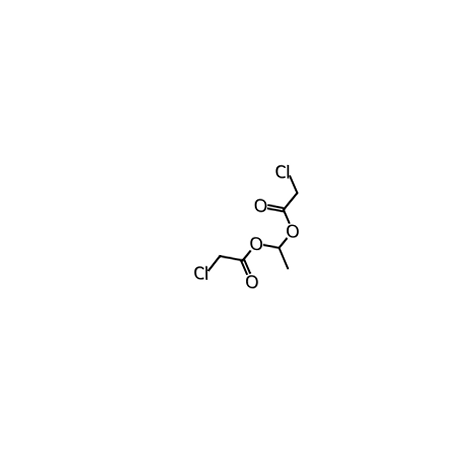 CC(OC(=O)CCl)OC(=O)CCl